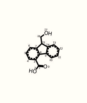 O=C(O)c1cccc2c1-c1ccccc1C2CO